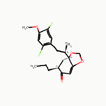 CCC[C@H]1C[C@]2([C@H](C)Cc3cc(F)c(OC)cc3F)OCOC2=CC1=O